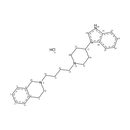 Cl.c1ccc2c(c1)CCN(CCCCN1CCC(c3c[nH]c4ccccc34)CC1)C2